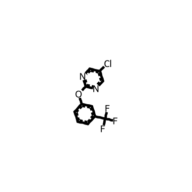 FC(F)(F)c1cccc(Oc2ncc(Cl)cn2)c1